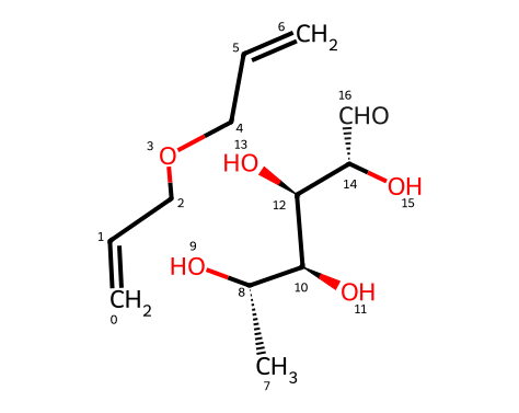 C=CCOCC=C.C[C@H](O)[C@H](O)[C@@H](O)[C@@H](O)C=O